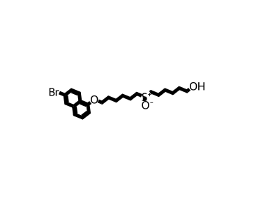 [O-][S+](CCCCCCO)CCCCCCOc1cccc2cc(Br)ccc12